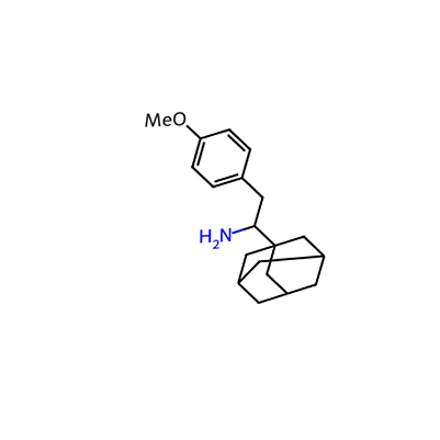 COc1ccc(CC(N)C23CC4CC(CC(C4)C2)C3)cc1